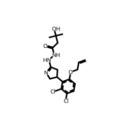 C=CCOc1ccc(Cl)c(Cl)c1C1CN=C(NNC(=O)CC(C)(C)O)C1